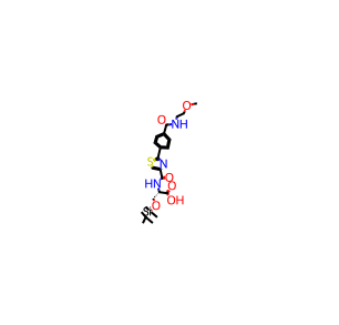 COCCNC(=O)c1ccc(-c2nc(C(=O)N[C@@H](CO[Si](C)(C)C(C)(C)C)C(=O)O)cs2)cc1